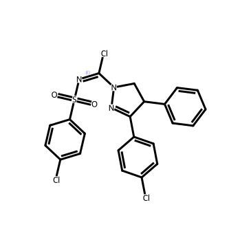 O=S(=O)(/N=C(/Cl)N1CC(c2ccccc2)C(c2ccc(Cl)cc2)=N1)c1ccc(Cl)cc1